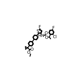 CCOC(=O)C1(c2ccc(-c3ccc(-c4sc(F)cc4NC(=O)OC(C)c4ccc(F)cc4Cl)cc3)cc2)CC1